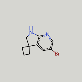 Brc1cnc2c(c1)C1(CCC1)CN2